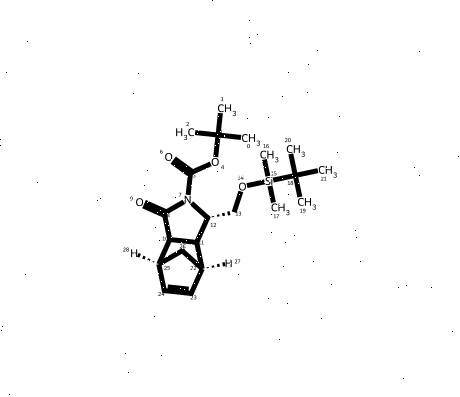 CC(C)(C)OC(=O)N1C(=O)C2C([C@H]1CO[Si](C)(C)C(C)(C)C)[C@H]1C=C[C@@H]2C1